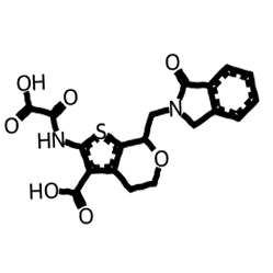 O=C(O)C(=O)Nc1sc2c(c1C(=O)O)CCOC2CN1Cc2ccccc2C1=O